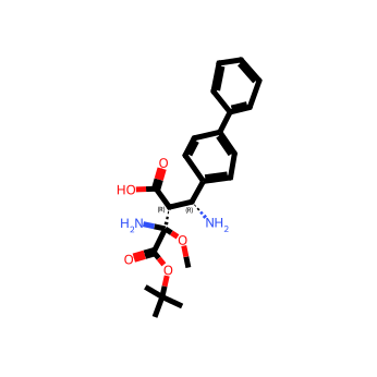 COC(N)(C(=O)OC(C)(C)C)[C@H](C(=O)O)[C@@H](N)c1ccc(-c2ccccc2)cc1